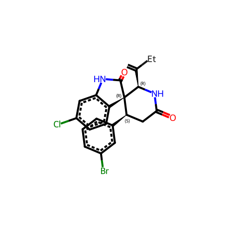 C=C(CC)[C@H]1NC(=O)C[C@@H](c2cccc(Br)c2)[C@]12C(=O)Nc1cc(Cl)ccc12